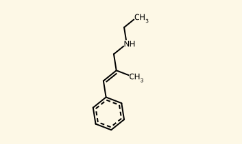 CCNC/C(C)=C/c1ccccc1